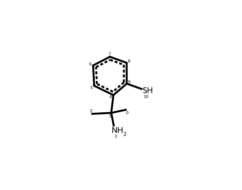 CC(C)(N)c1ccccc1S